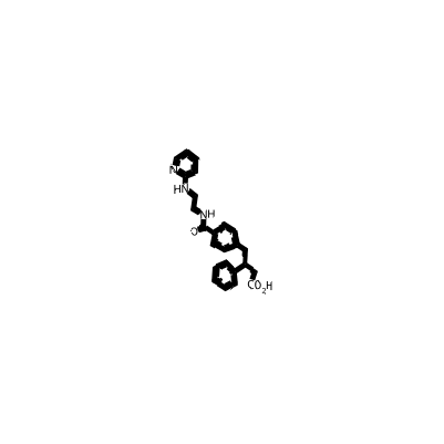 O=C(O)CC(Cc1ccc(C(=O)NCCNc2ccccn2)cc1)c1ccccc1